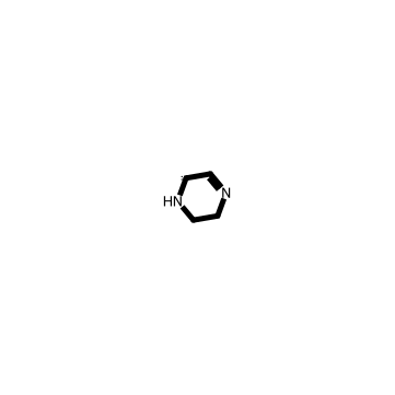 [C]1C=NCCN1